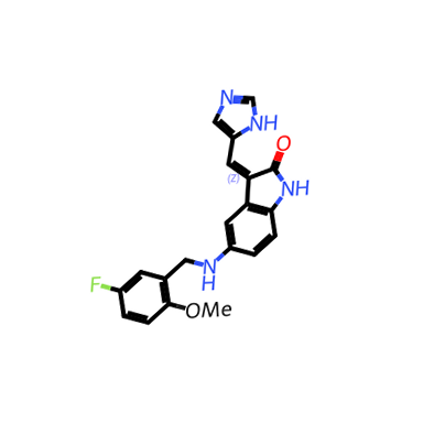 COc1ccc(F)cc1CNc1ccc2c(c1)/C(=C/c1cnc[nH]1)C(=O)N2